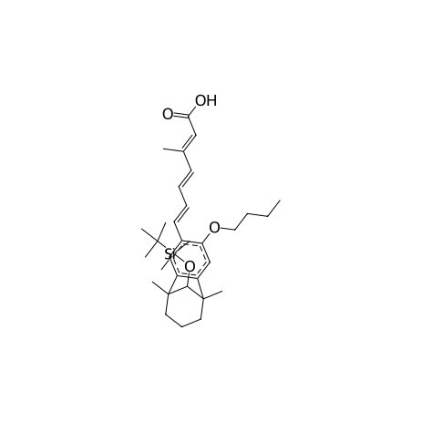 CCCCOc1cc2c(cc1/C=C/C=C/C(C)=C/C(=O)O)C1(C)CCCC2(C)C1O[Si](C)(C)C(C)(C)C